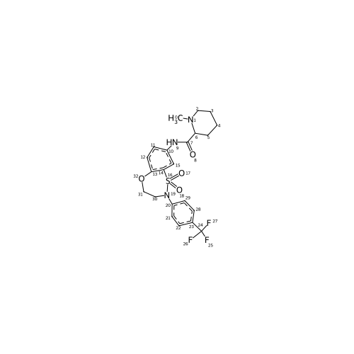 CN1CCCCC1C(=O)Nc1ccc2c(c1)S(=O)(=O)N(c1ccc(C(F)(F)F)cc1)CCO2